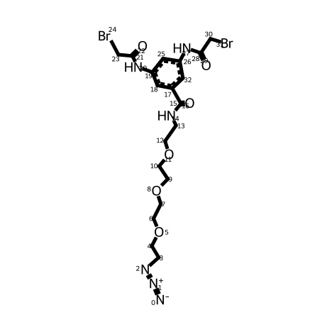 [N-]=[N+]=NCCOCCOCCOCCNC(=O)c1cc(NC(=O)CBr)cc(NC(=O)CBr)c1